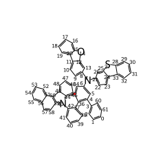 c1ccc(-c2cc(N(c3ccc4c(c3)oc3ccccc34)c3ccc4c(c3)sc3ccccc34)ccc2-c2ccccc2-n2c3ccccc3c3c4ccccc4ccc32)cc1